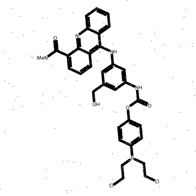 CNC(=O)c1cccc2c(Nc3cc(CO)cc(NC(=O)Oc4ccc(N(CCCl)CCCl)cc4)c3)c3ccccc3nc12